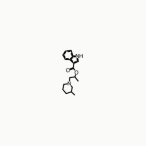 CC1CCCN(CC(C)OC(=O)c2c[nH]c3ccccc23)C1